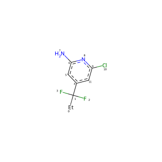 CCC(F)(F)c1cc(N)nc(Cl)c1